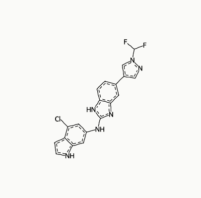 FC(F)n1cc(-c2ccc3[nH]c(Nc4cc(Cl)c5cc[nH]c5c4)nc3c2)cn1